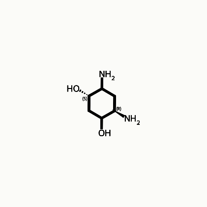 NC1C[C@@H](N)C(O)C[C@@H]1O